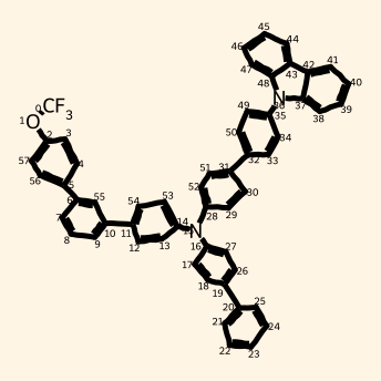 FC(F)(F)Oc1ccc(-c2cccc(-c3ccc(N(c4ccc(-c5ccccc5)cc4)c4ccc(-c5ccc(-n6c7ccccc7c7ccccc76)cc5)cc4)cc3)c2)cc1